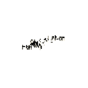 CCCCCCCCCCCCCCCC(=O)NCC(O)CO